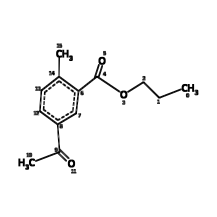 CCCOC(=O)c1cc(C(C)=O)ccc1C